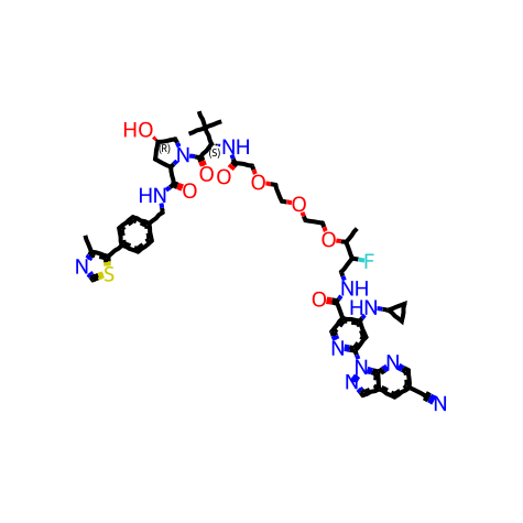 Cc1ncsc1-c1ccc(CNC(=O)C2C[C@@H](O)CN2C(=O)[C@@H](NC(=O)COCCOCCOC(C)C(F)CNC(=O)c2cnc(-n3ncc4cc(C#N)cnc43)cc2NC2CC2)C(C)(C)C)cc1